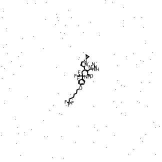 O=C1NC(c2ccc(OCCCCCC(F)(F)F)cc2)(C(F)(F)F)CC(c2ccn(C3CC3)n2)=C1c1nnn[nH]1